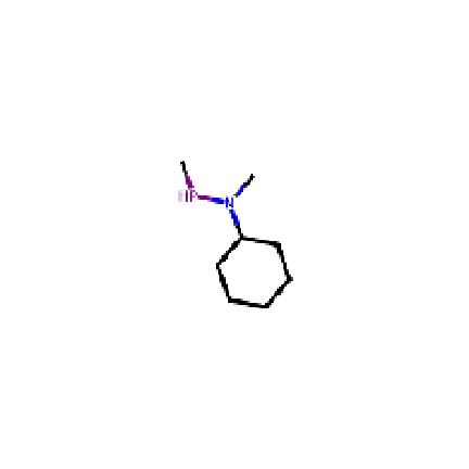 CPN(C)C1CCCCC1